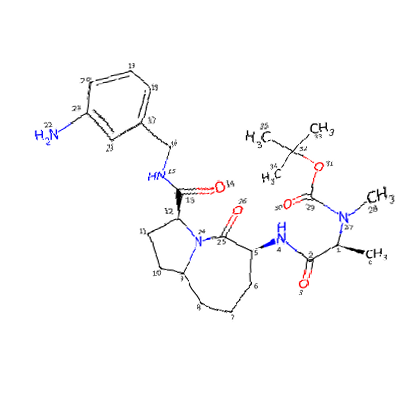 C[C@@H](C(=O)N[C@H]1CCCC2CC[C@@H](C(=O)NCc3cccc(N)c3)N2C1=O)N(C)C(=O)OC(C)(C)C